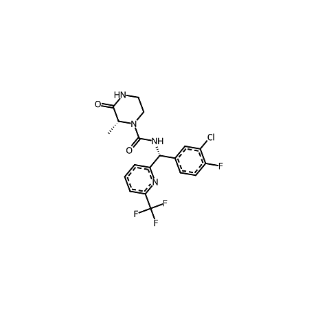 C[C@@H]1C(=O)NCCN1C(=O)N[C@H](c1ccc(F)c(Cl)c1)c1cccc(C(F)(F)F)n1